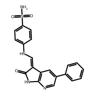 NS(=O)(=O)c1ccc(NC=C2C(=O)Nc3ncc(-c4ccccc4)cc32)cc1